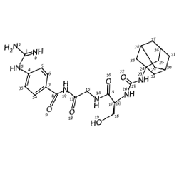 N=C(N)Nc1ccc(C(=O)NC(=O)CNC(=O)[C@H](CO)NC(=O)NC23CC4CC(CC(C4)C2)C3)cc1